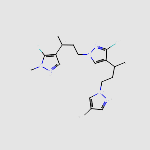 CC(C)c1cnn(CCC(C)c2cn(CCC(C)c3cnn(C)c3F)nc2F)c1